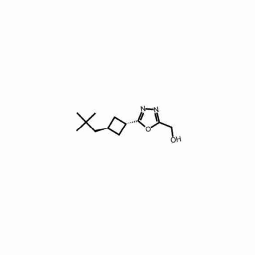 CC(C)(C)C[C@H]1C[C@H](c2nnc(CO)o2)C1